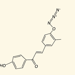 Cc1cc(C=CC(=O)c2ccc(O)cc2)ccc1ON=[N+]=[N-]